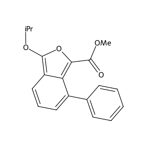 COC(=O)c1oc(OC(C)C)c2cccc(-c3ccccc3)c12